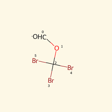 O=[C]OC(Br)(Br)Br